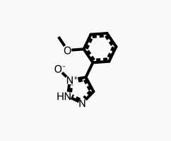 COc1ccccc1-c1cn[nH][n+]1[O-]